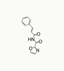 O=C(/C=C/c1ccccc1)NC(=O)c1ncco1